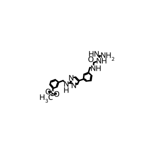 CS(=O)(=O)c1cccc(CNc2ncc(-c3cccc(CNC(=O)NC(=N)N)c3)cn2)c1